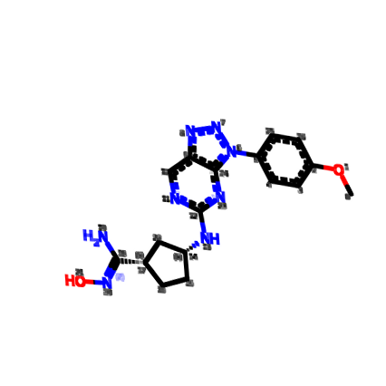 COc1ccc(-n2nnc3cnc(N[C@@H]4CC[C@H](/C(N)=N/O)C4)nc32)cc1